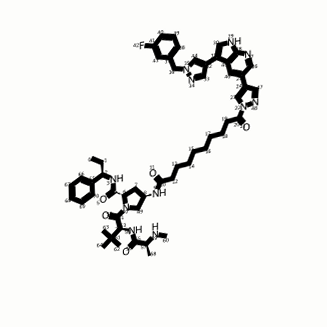 CC[C@@H](NC(=O)[C@@H]1C[C@H](NC(=O)CCCCCCCCC(=O)n2cc(-c3cnc4[nH]cc(-c5cnn(Cc6cccc(F)c6)c5)c4c3)cn2)CN1C(=O)[C@@H](NC(=O)[C@H](C)NC)C(C)(C)C)c1ccccc1